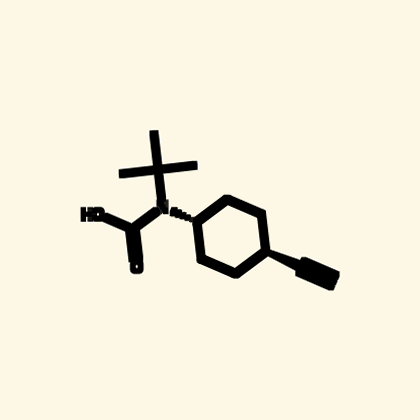 C#C[C@H]1CC[C@H](N(C(=O)O)C(C)(C)C)CC1